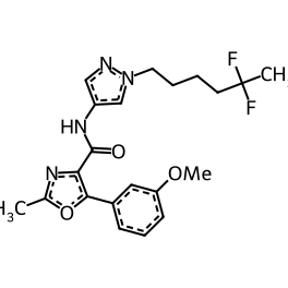 COc1cccc(-c2oc(C)nc2C(=O)Nc2cnn(CCCCC(C)(F)F)c2)c1